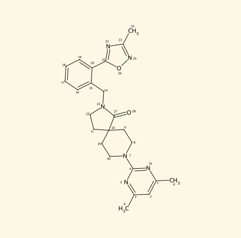 Cc1cc(C)nc(N2CCC3(CCN(Cc4ccccc4-c4nc(C)no4)C3=O)CC2)n1